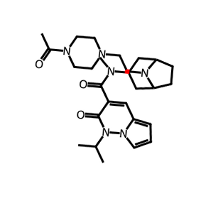 CC(=O)N1CCN(CCN2C3CCC2CC(N(C)C(=O)c2cc4cccn4n(C(C)C)c2=O)C3)CC1